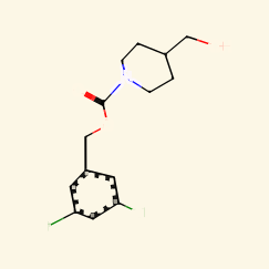 O=C(OCc1cc(Cl)cc(Cl)c1)N1CCC(CO)CC1